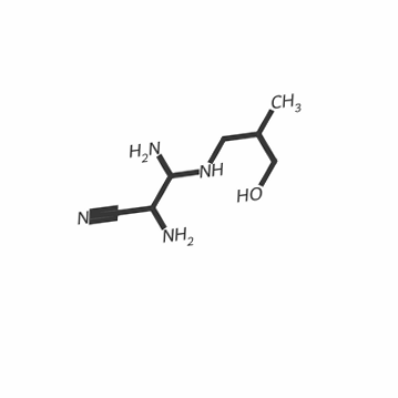 CC(CO)CNC(N)C(N)C#N